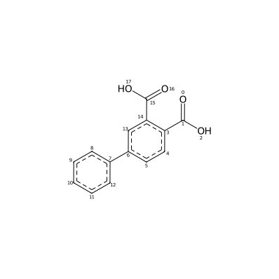 O=C(O)c1ccc(-c2ccccc2)cc1C(=O)O